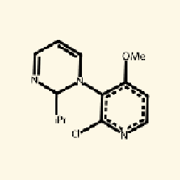 COc1ccnc(Cl)c1N1C=CC=NC1C(C)C